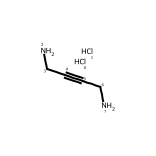 Cl.Cl.NCC#CCN